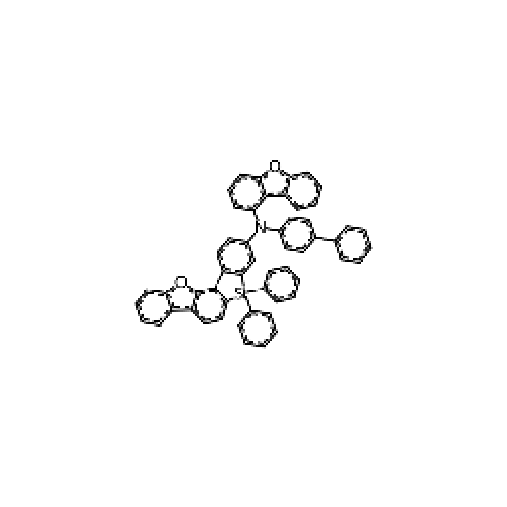 c1ccc(-c2ccc(N(c3ccc4c(c3)[Si](c3ccccc3)(c3ccccc3)c3ccc5c(oc6ccccc65)c3-4)c3cccc4oc5ccccc5c34)cc2)cc1